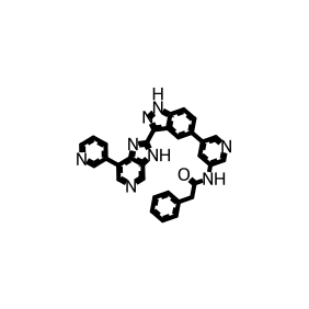 O=C(Cc1ccccc1)Nc1cncc(-c2ccc3[nH]nc(-c4nc5c(-c6cccnc6)cncc5[nH]4)c3c2)c1